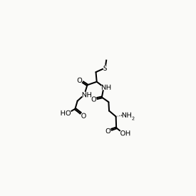 CSCC(NC(=O)CC[C@H](N)C(=O)O)C(=O)NCC(=O)O